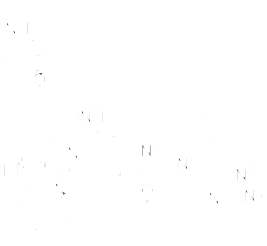 CCn1cnnc1-c1cccc(N2CC3=C(NCCOCCN)N=C(N4CCCC45B[C@@H]5C)CC3C2=O)n1